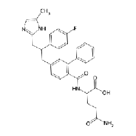 Cc1cnc(CC(Cc2ccc(C(=O)NC(CCC(N)=O)C(=O)O)c(-c3ccccc3)c2)c2ccc(F)cc2)[nH]1